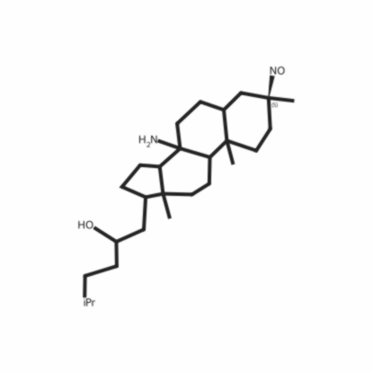 CC(C)CCC(O)CC1CCC2C1(C)CCC1C3(C)CC[C@](C)(N=O)CC3CCC21N